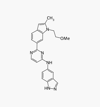 COCCn1c(C)cc2ccc(-c3nccc(Nc4ccc5[nH]ncc5c4)n3)cc21